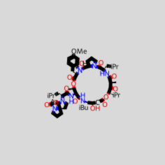 CC[C@H](C)[C@H]1NC(=O)[C@@H](NC(=O)[C@@H](CC(C)C)N2CC[C@]3(CCCN3C(=O)C(C)=O)C2=O)[C@@H](C)OC(=O)[C@H](Cc2ccc(OC)cc2)N(C)C(=O)[C@@H]2CCCN2C(=O)[C@H](CC(C)C)NC(=O)[C@@H](C)C(=O)[C@H](C(C)C)OC(=O)C[C@@H]1O